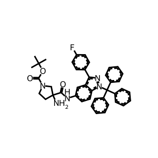 CC(C)(C)OC(=O)N1CCC(N)(C(=O)Nc2ccc3c(c2)c(-c2ccc(F)cc2)nn3C(c2ccccc2)(c2ccccc2)c2ccccc2)C1